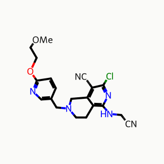 COCCOc1ccc(CN2CCc3c(NCC#N)nc(Cl)c(C#N)c3C2)cn1